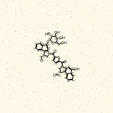 O=C(c1ccc(C(=O)N2C[C@@H](CCl)c3c2cc(O[C@@H]2OC(CO)[C@H](O)C(O)[C@@H]2O)c2ccccc32)s1)N1C[C@@H](CCl)c2c1cc(O)c1ccccc21